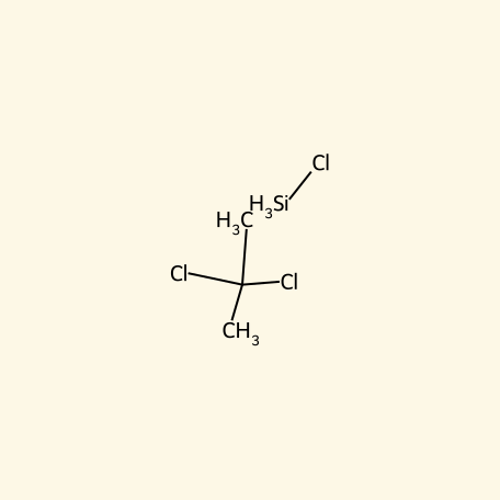 CC(C)(Cl)Cl.[SiH3]Cl